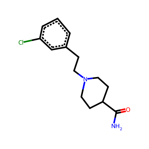 NC(=O)C1CCN(CCc2cccc(Cl)c2)CC1